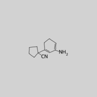 N#CC1(C2=CC(N)=CCC2)CCCC1